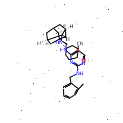 Cc1ccccc1CNc1ncc(C#N)c(NC[C@]23CC4C[C@H](C2)[C@@H](N[C@H]2CC[C@@H](O)CC2)[C@@H](C4)C3)n1